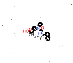 CC(Cc1cccc(N2CC(CN[C@H](C)c3cccc4ccccc34)Oc3ccccc32)c1)C(=O)O